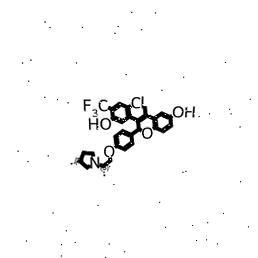 CC1=C(c2cc(O)c(C(F)(F)F)cc2Cl)C(c2ccc(OC[C@H](C)N3CC[C@@H](C)C3)cc2)Oc2ccc(O)cc21